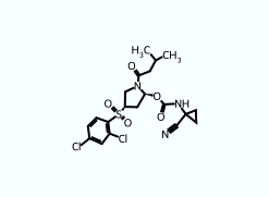 CC(C)CC(=O)N1C[C@H](S(=O)(=O)c2ccc(Cl)cc2Cl)C[C@@H]1OC(=O)NC1(C#N)CC1